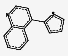 c1csc(-c2ccnc3ccccc23)c1